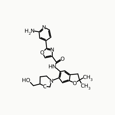 CC1(C)Cc2cc(NC(=O)c3coc(-c4ccnc(N)c4)n3)c(N3CCC(CO)CC3)cc2O1